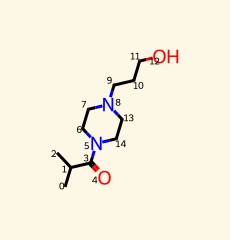 CC(C)C(=O)N1CCN(CCCO)CC1